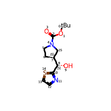 CC(C)(C)OC(=O)N1CC[C@H]([C@H](O)c2nccs2)C1